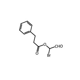 O=CC(Br)OC(=O)CCc1ccccc1